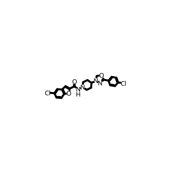 O=C(NN1CCC(N2COC(c3ccc(Cl)cc3)=N2)CC1)c1cc2cc(Cl)ccc2o1